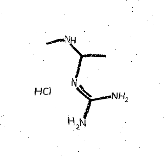 CNC(C)N=C(N)N.Cl